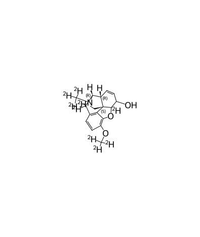 [2H]C([2H])([2H])Oc1ccc2c3c1OC1([2H])C(O)C=C[C@H]4[C@H](N(C([2H])([2H])[2H])CC[C@@]341)C2([2H])[2H]